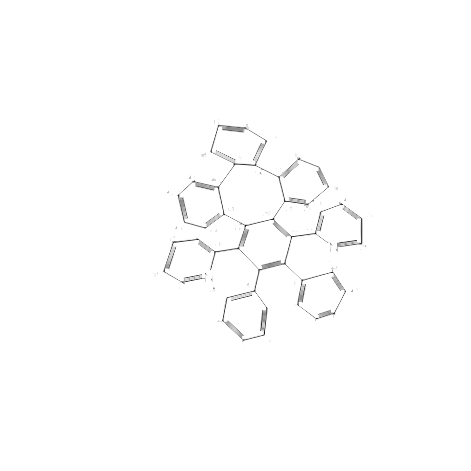 c1ccc(-c2c(-c3ccccc3)c(-c3ccccn3)c3c(c2-c2ccccn2)-c2ccccc2-c2ccccc2-c2ccccc2-3)cc1